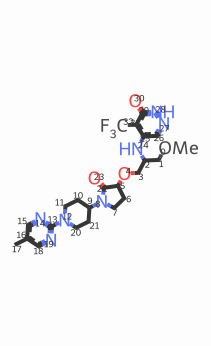 COCC(COC1CCN(C2CCN(c3ncc(C)cn3)CC2)C1=O)Nc1cn[nH]c(=O)c1C(F)(F)F